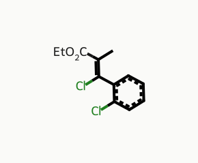 CCOC(=O)C(C)=C(Cl)c1ccccc1Cl